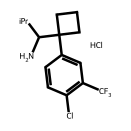 CC(C)C(N)C1(c2ccc(Cl)c(C(F)(F)F)c2)CCC1.Cl